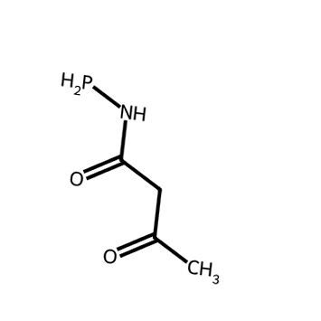 CC(=O)CC(=O)NP